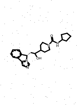 O=C(NC1CCCC1)N1CCC(C(O)C[C@H]2c3ccccc3-c3cncn32)CC1